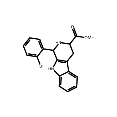 COC(=O)C1Cc2c([nH]c3ccccc23)C(c2ccccc2Br)N1